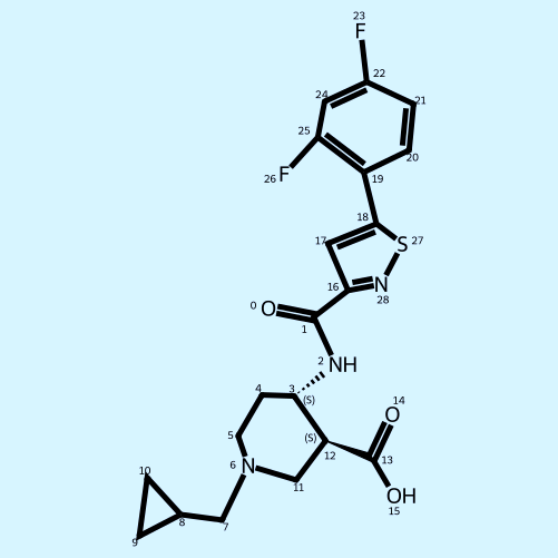 O=C(N[C@H]1CCN(CC2CC2)C[C@@H]1C(=O)O)c1cc(-c2ccc(F)cc2F)sn1